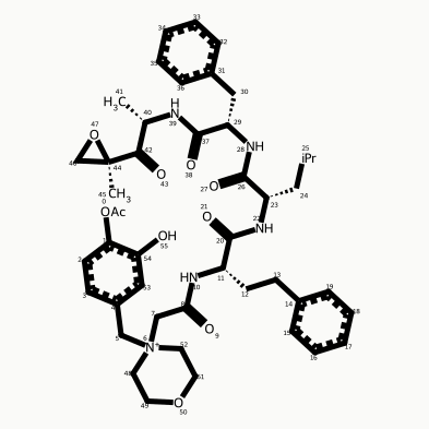 CC(=O)Oc1ccc(C[N+]2(CC(=O)N[C@@H](CCc3ccccc3)C(=O)N[C@@H](CC(C)C)C(=O)N[C@@H](Cc3ccccc3)C(=O)N[C@@H](C)C(=O)[C@@]3(C)CO3)CCOCC2)cc1O